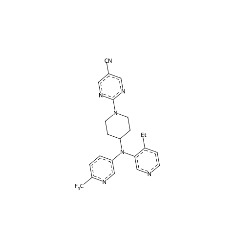 CCc1ccncc1N(c1ccc(C(F)(F)F)nc1)C1CCN(c2ncc(C#N)cn2)CC1